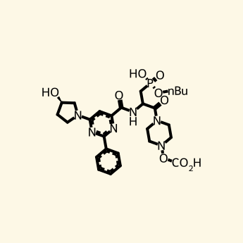 CCCCOP(=O)(O)CC(NC(=O)c1cc(N2CC[C@@H](O)C2)nc(-c2ccccc2)n1)C(=O)N1CCN(OC(=O)O)CC1